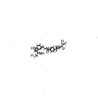 CCNC(=O)NCC(C)(C)c1ccc(C(=O)NCCc2ccc3[nH]cc(C(=N)N)c3c2)cc1